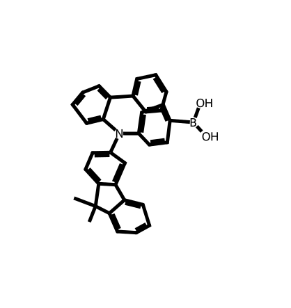 CC1(C)c2ccccc2-c2cc(N(c3ccc(B(O)O)cc3)c3ccccc3-c3ccccc3)ccc21